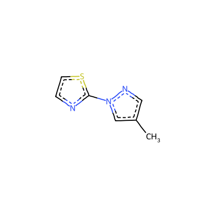 Cc1cnn(-c2nccs2)c1